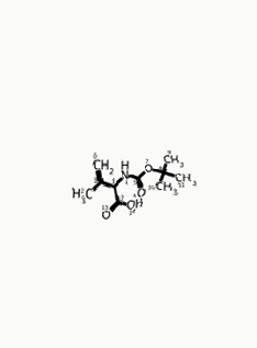 C=C(C)C(NC(=O)OC(C)(C)C)C(=O)O